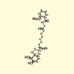 CCCN(CCCCCCNCCC(=O)c1ccccc1OC)C1CCc2c(ccc(O)c2O)C1